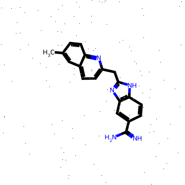 Cc1ccc2nc(Cc3nc4cc(C(=N)N)ccc4[nH]3)ccc2c1